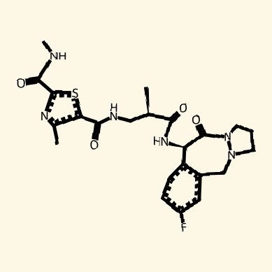 CNC(=O)c1nc(C)c(C(=O)NC[C@@H](C)C(=O)N[C@H]2C(=O)N3CCCN3Cc3cc(F)ccc32)s1